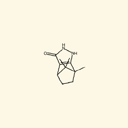 CC12CCC(c3c1[nH][nH]c3=O)C2(C)C